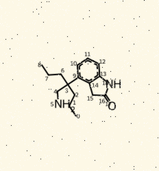 CCCC(CN)(CCC)c1cccc2c1CC(=O)N2